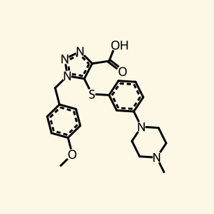 COc1ccc(Cn2nnc(C(=O)O)c2Sc2cccc(N3CCN(C)CC3)c2)cc1